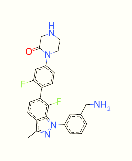 Cc1nn(-c2cccc(CN)c2)c2c(F)c(-c3ccc(N4CCNCC4=O)cc3F)ccc12